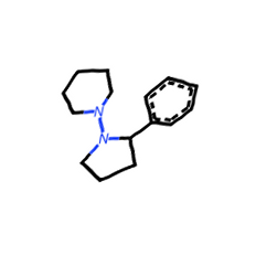 c1ccc(C2CCCN2N2CCCCC2)cc1